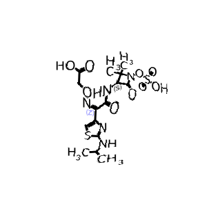 CC(C)Nc1nc(/C(=N/OCC(=O)O)C(=O)N[C@@H]2C(=O)N(OS(=O)(=O)O)C2(C)C)cs1